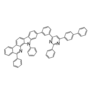 c1ccc(-c2ccc(-c3cc(-c4cccc(-c5ccc6c7ccc8c9ccccc9c(-c9ccccc9)nc8c7n(-c7ccccc7)c6c5)c4)nc(-c4ccccc4)n3)cc2)cc1